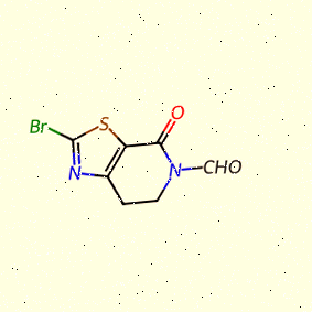 O=CN1CCc2nc(Br)sc2C1=O